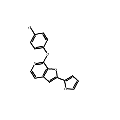 Clc1ccc(Oc2nccc3cc(-c4ccco4)sc23)cc1